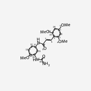 COc1cc(OC)c(C=CC(=O)Nc2ccc(OC)c(NC(N)=O)c2)c(OC)c1